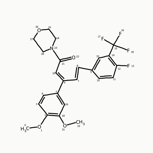 COc1ccc(C(C=Cc2ccc(F)c(C(F)(F)F)c2)=CC(=O)N2CCOCC2)cc1OC